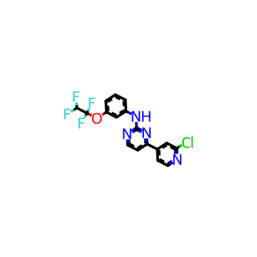 FC(F)C(F)(F)Oc1cccc(Nc2nccc(-c3ccnc(Cl)c3)n2)c1